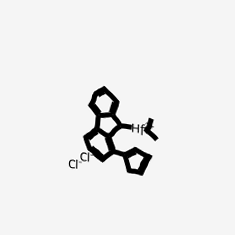 C[C](C)=[Hf+2][CH]1c2ccccc2-c2cccc(C3=CC=CC3)c21.[Cl-].[Cl-]